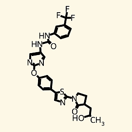 CC(O)CC1CCN(c2ncc(-c3ccc(Oc4ncc(NC(=O)Nc5cccc(C(F)(F)F)c5)cn4)cc3)s2)C1=O